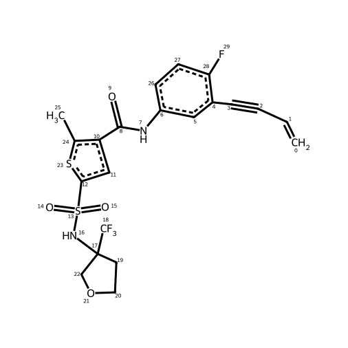 C=CC#Cc1cc(NC(=O)c2cc(S(=O)(=O)NC3(C(F)(F)F)CCOC3)sc2C)ccc1F